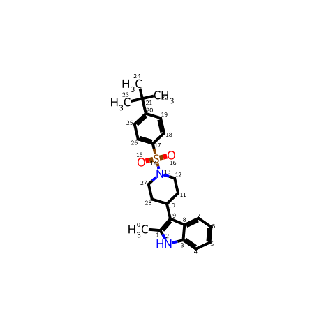 Cc1[nH]c2ccccc2c1C1CCN(S(=O)(=O)c2ccc(C(C)(C)C)cc2)CC1